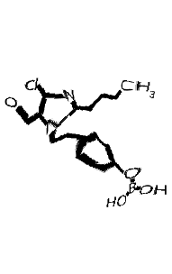 CCCCc1nc(Cl)c(C=O)n1Cc1ccc(OB(O)O)cc1